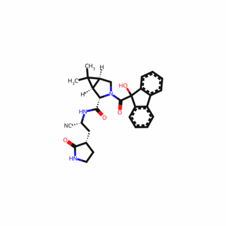 CC1(C)[C@@H]2[C@@H](C(=O)N[C@@H](C#N)C[C@@H]3CCNC3=O)N(C(=O)C3(O)c4ccccc4-c4ccccc43)C[C@@H]21